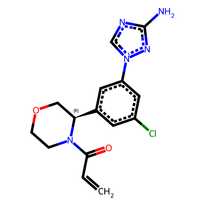 C=CC(=O)N1CCOC[C@H]1c1cc(Cl)cc(-n2cnc(N)n2)c1